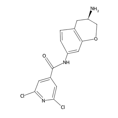 N[C@H]1COc2cc(NC(=O)c3cc(Cl)nc(Cl)c3)ccc2C1